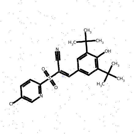 CC(C)(C)c1cc(/C=C(\C#N)S(=O)(=O)c2ccc(Cl)cn2)cc(C(C)(C)C)c1O